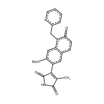 COc1cc2c(ccc(=O)n2Cc2ccccn2)cc1C1=C(C)C(=O)NC1=O